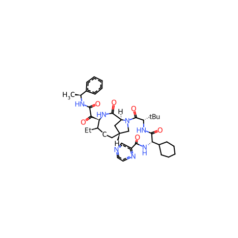 CCC1CC[C@@H]2C[C@@H](C(=O)N[C@@H]1C(=O)C(=O)N[C@@H](C)c1ccccc1)N(C(=O)[C@@H](NC(=O)[C@@H](NC(=O)c1cnccn1)C1CCCCC1)C(C)(C)C)C2